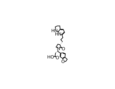 O=C(O)C[C@@H](c1ccc2c(c1)OCC2)N1CC[C@H](CCCC2=CC=C3CCCNC3N2)C1=O